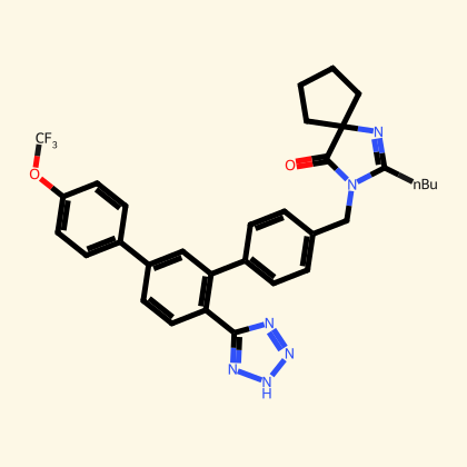 CCCCC1=NC2(CCCC2)C(=O)N1Cc1ccc(-c2cc(-c3ccc(OC(F)(F)F)cc3)ccc2-c2nn[nH]n2)cc1